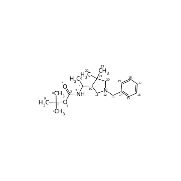 CC(NC(=O)OC(C)(C)C)C1CN(Cc2ccccc2)CC1(C)C